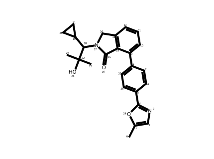 Cc1cnc(-c2ccc(-c3cccc4c3C(=O)N(C(C3CC3)C(C)(C)O)C4)cc2)o1